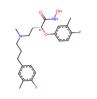 Cc1cc(CCCN(C)CC[C@@H](Oc2ccc(F)c(C)c2)C(=O)NO)ccc1F